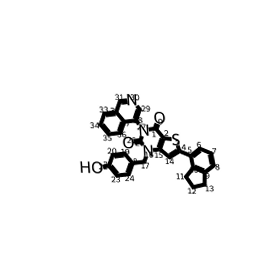 O=c1c2sc(-c3cccc4c3CCC4)cc2n(Cc2ccc(O)cc2)c(=O)n1-c1cncc2ccccc12